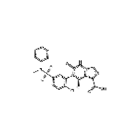 CN(c1ccccc1)S(=O)(=O)c1ccc(Cl)c(-n2c(=O)[nH]c3csc(C(=O)O)c3c2=O)c1